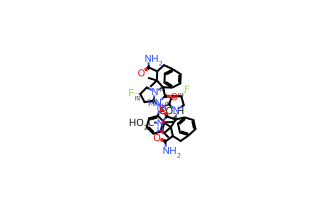 Cc1cccc(N([C@H]2C[C@H](F)CN2[C@]2(C(=O)NC(=O)O)c3ccc(cc3)CC(C(N)=O)C2(C)C)[C@H]2C[C@H](F)CN2[C@]2(C(=O)NC(=O)O)c3ccc(cc3)CC(C(N)=O)C2(C)C)c1C